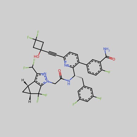 NC(=O)c1cc(-c2ccc(C#CC3(O)CC(F)(F)C3)nc2[C@H](Cc2cc(F)cc(F)c2)NC(=O)Cn2nc(C(F)F)c3c2C(F)(F)[C@@H]2C[C@H]32)ccc1F